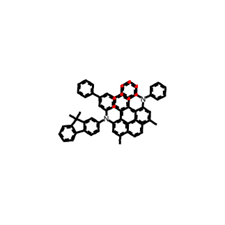 Cc1cc(N(c2ccccc2)c2ccccc2)c2c3ccccc3c3c(N(c4cc(-c5ccccc5)cc(-c5ccccc5)c4)c4ccc5c(c4)C(C)(C)c4ccccc4-5)cc(C)c4ccc1c2c43